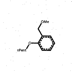 [CH2]OCc1ccccc1OCCCCC